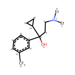 CCN(CC)CCC(O)(c1cccc(C(F)(F)F)c1)C1CC1